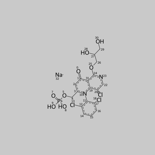 O=c1cc(COP(=O)(O)O)n(-c2c(Cl)cccc2Cl)c2c(Cl)cnc(OCC(O)CO)c12.[Na]